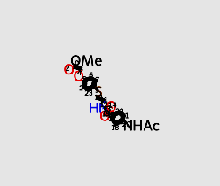 COC(=O)COc1ccc(SCCNS(=O)(=O)c2ccc(NC(C)=O)cc2)cc1